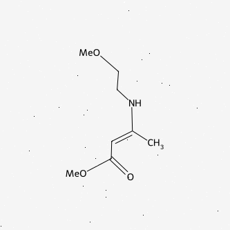 COCCNC(C)=CC(=O)OC